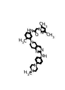 Cc1cc(C)n(CC(=O)Nc2ccc(C)c(N3CCc4nc(Nc5ccc(N6CCN(C)CC6)cc5)ncc4C3)c2)n1